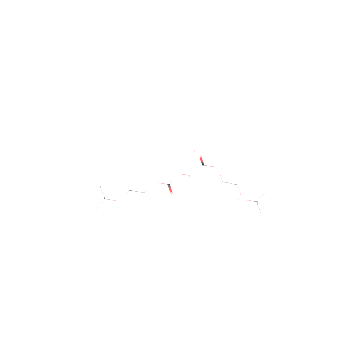 CC(C)OCCOC(=O)OOC(=O)OCCOC(C)C